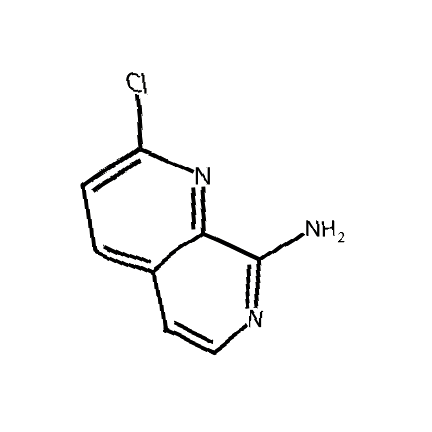 Nc1nccc2ccc(Cl)nc12